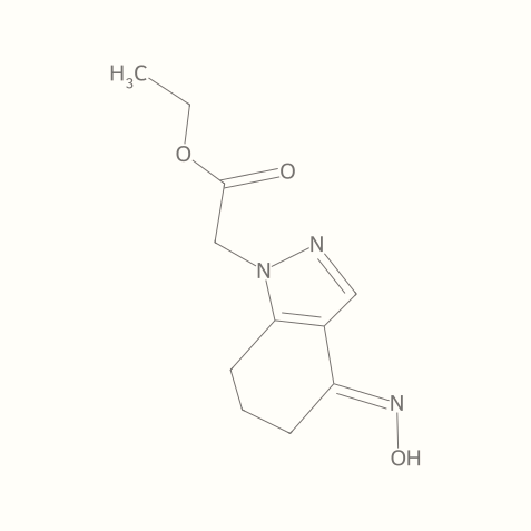 CCOC(=O)Cn1ncc2c1CCC/C2=N\O